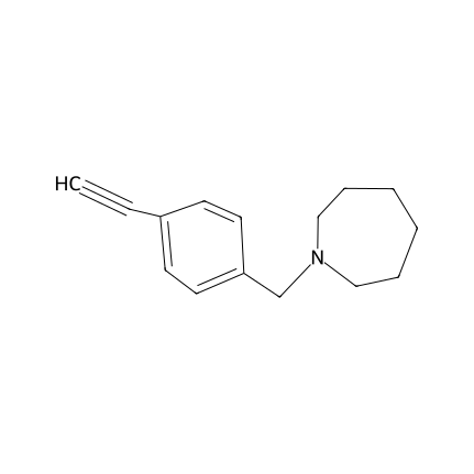 C#Cc1ccc(CN2CCCCCC2)cc1